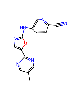 Cc1cnc(-c2cnc(Nc3ccc(C#N)nc3)o2)nc1